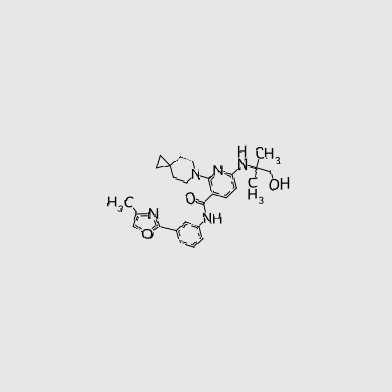 Cc1coc(-c2cccc(NC(=O)c3ccc(NC(C)(C)CO)nc3N3CCC4(CC3)CC4)c2)n1